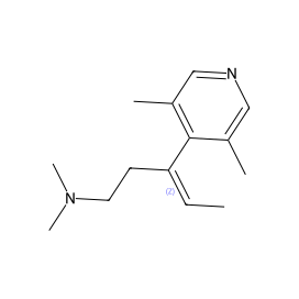 C/C=C(/CCN(C)C)c1c(C)cncc1C